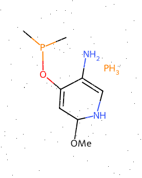 COC1C=C(OP(C)C)C(N)=CN1.P